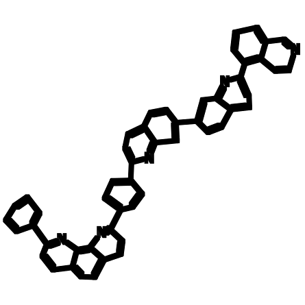 c1ccc(-c2ccc3ccc4ccc(-c5ccc(-c6ccc7ccc(-c8ccc9ccc(-c%10cccc%11cnccc%10%11)nc9c8)cc7n6)cc5)nc4c3n2)cc1